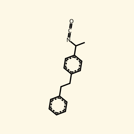 CC(N=C=O)c1ccc(CCc2ccccc2)cc1